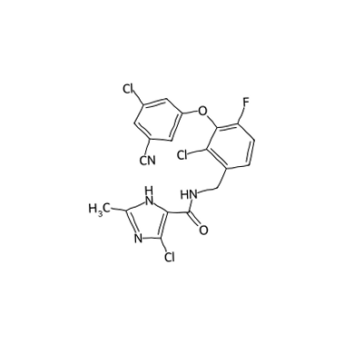 Cc1nc(Cl)c(C(=O)NCc2ccc(F)c(Oc3cc(Cl)cc(C#N)c3)c2Cl)[nH]1